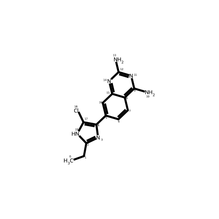 CCc1nc(-c2ccc3c(N)nc(N)nc3c2)c(Cl)[nH]1